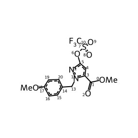 COC(=O)c1cc(OS(=O)(=O)C(F)(F)F)nn1Cc1ccc(OC)cc1